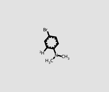 [2H]c1cc(Br)ccc1N(C)C